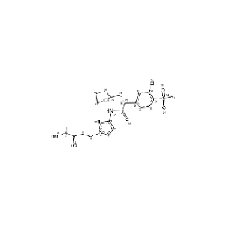 CCCNC(=O)CCn1ccc(NC(=O)[C@H](CC2CCCC2)c2ccc(S(C)(=O)=O)c(Cl)c2)n1